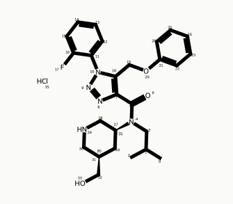 CC(C)CN(C(=O)c1nnn(-c2ccccc2F)c1COc1ccccc1)[C@@H]1CNC[C@H](CO)C1.Cl